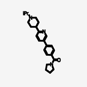 CC(C)N1CCC(c2ccc(-c3ccc(C(=O)N4CCCC4)cc3)cn2)CC1